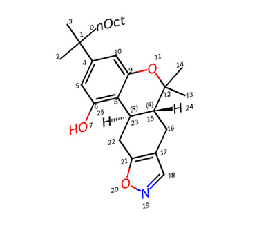 CCCCCCCCC(C)(C)c1cc(O)c2c(c1)OC(C)(C)[C@@H]1Cc3cnoc3C[C@@H]21